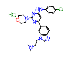 CN(C)CCn1cnc2ccc(-c3cc(Nc4ccc(Cl)cc4)nc(N4CCOCC4)n3)cc21.Cl